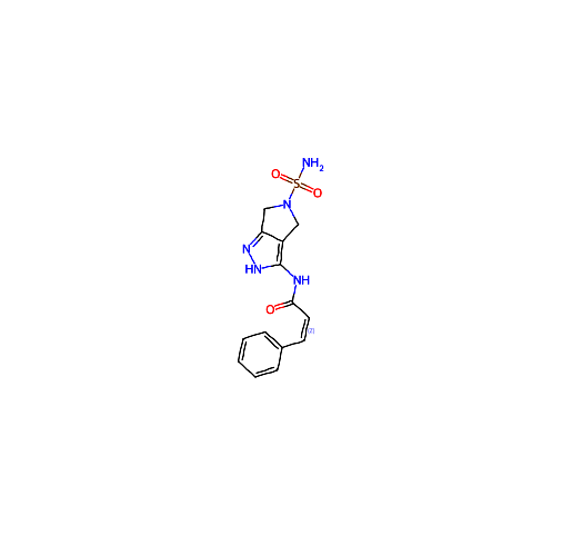 NS(=O)(=O)N1Cc2n[nH]c(NC(=O)/C=C\c3ccccc3)c2C1